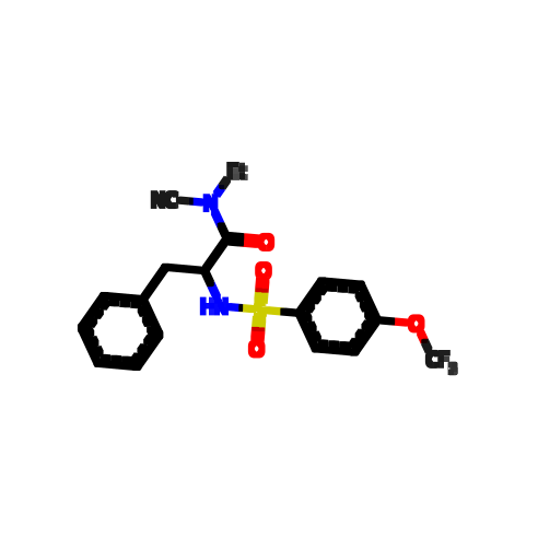 CCN(C#N)C(=O)C(Cc1ccccc1)NS(=O)(=O)c1ccc(OC(F)(F)F)cc1